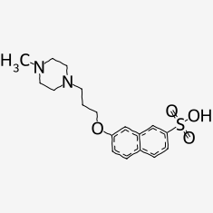 CN1CCN(CCCOc2ccc3ccc(S(=O)(=O)O)cc3c2)CC1